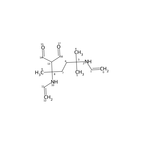 C=CNC(C)(C)CCC(C)(NC=C)C(C=O)C=O